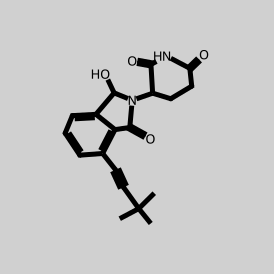 CC(C)(C)C#Cc1cccc2c1C(=O)N(C1CCC(=O)NC1=O)C2O